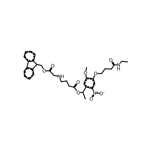 CCNC(=O)CCCOc1cc([N+](=O)[O-])c(C(C)OC(=O)CCCNCC(=O)OCC2c3ccccc3-c3ccccc32)cc1OC